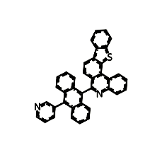 c1cncc(-c2c3ccccc3c(-c3nc4ccccc4c4c3ccc3c5ccccc5sc34)c3ccccc23)c1